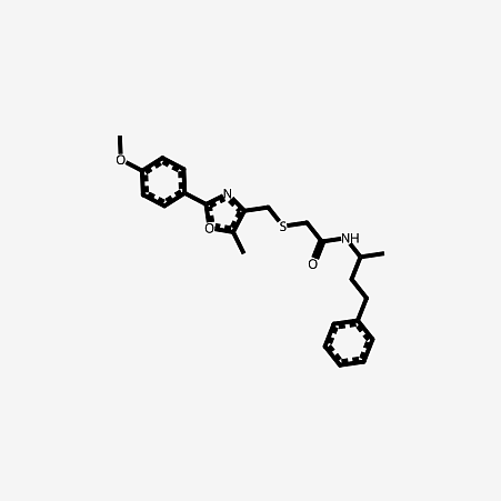 COc1ccc(-c2nc(CSCC(=O)NC(C)CCc3ccccc3)c(C)o2)cc1